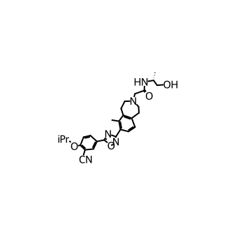 Cc1c(-c2noc(-c3ccc(OC(C)C)c(C#N)c3)n2)ccc2c1CCN(CC(=O)N[C@H](C)CO)CC2